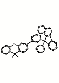 CC1(C)c2ccccc2Oc2cc(-c3cccc(C4(c5ccccc5)c5ccccc5-c5ccc6ccccc6c54)c3)ccc21